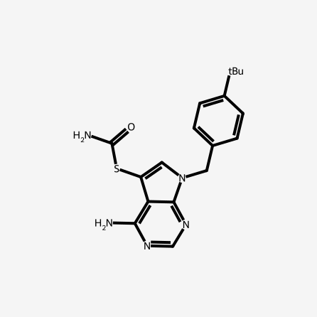 CC(C)(C)c1ccc(Cn2cc(SC(N)=O)c3c(N)ncnc32)cc1